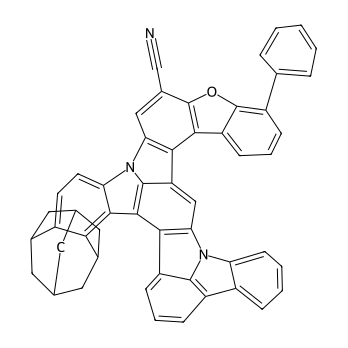 N#Cc1cc2c(c3cc4c(c5cccc6c7ccccc7n4c65)c4c5c6c(ccc5n2c34)C2CC3CC(C2)CC6C3)c2c1oc1c(-c3ccccc3)cccc12